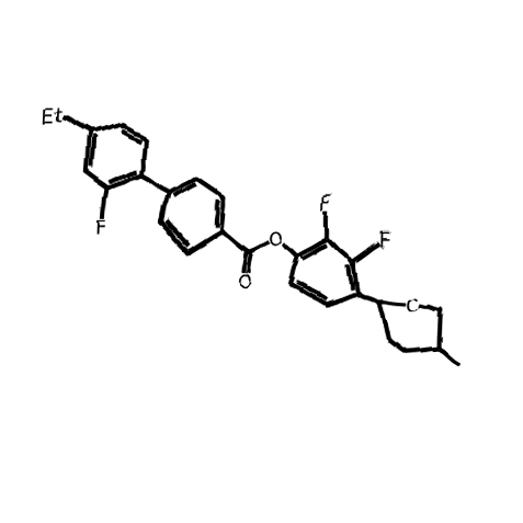 CCc1ccc(-c2ccc(C(=O)Oc3ccc(C4CCC(C)CC4)c(F)c3F)cc2)c(F)c1